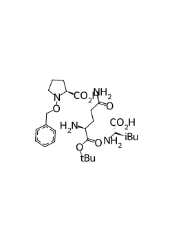 CC(C)(C)OC(=O)[C@@H](N)CCC(N)=O.CC[C@H](C)[C@H](N)C(=O)O.O=C(O)[C@@H]1CCCN1OCc1ccccc1